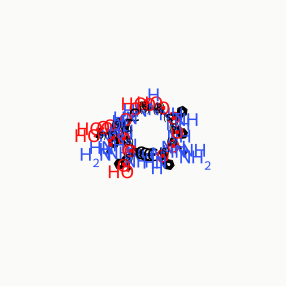 C[C@@H](O)[C@@H]1NC(=O)CNC(=O)C[C@@H](C(=O)N2CCC[C@H]2C(=O)N[C@@H](CCCNC(=N)N)C(=O)N[C@@H](CO)C(=O)O)NC(=O)[C@H](Cc2c[nH]c3ccccc23)NC(=O)[C@@H](NC(=O)[C@H](Cc2ccccc2)NC(=O)CO)CCCCNC(=O)[C@H](Cc2c[nH]c3ccccc23)NC(=O)[C@H](CCCNC(=N)N)NC(=O)[C@H](Cc2ccccc2)NC(=O)[C@H](Cc2c[nH]c3ccccc23)NC(=O)[C@H]([C@@H](C)O)NC1=O